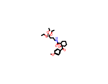 CCO[Si](CCCNC(=O)C1CCCCC1(O)C(=O)c1ccc(OC)cc1)(OCC)OCC